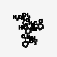 Cc1c(Cl)cccc1NC(=O)c1cc(N(N)C(=O)c2ccccc2C(F)(F)F)cc2[nH]c(CC(=O)N(C)C)nc12